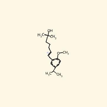 COc1ccc(C(C)C)cc1/C=C/CCCC(C)(C)O